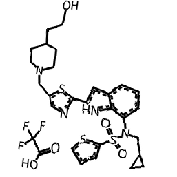 O=C(O)C(F)(F)F.O=S(=O)(c1cccs1)N(CC1CC1)c1cccc2cc(-c3ncc(CN4CCC(CCO)CC4)s3)[nH]c12